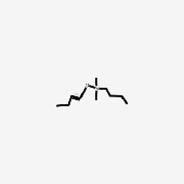 CC/C=C/O[Si](C)(C)CCCC